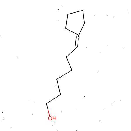 OCCCCCC=C1CCCC1